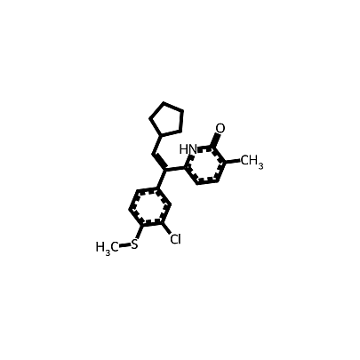 CSc1ccc(/C(=C/C2CCCC2)c2ccc(C)c(=O)[nH]2)cc1Cl